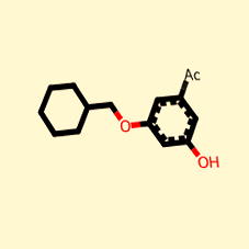 CC(=O)c1cc(O)cc(OCC2CCCCC2)c1